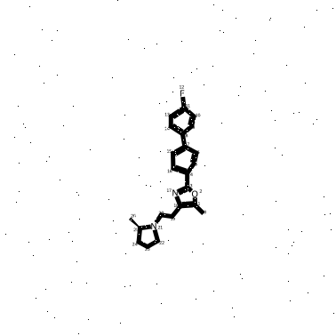 Cc1oc(-c2ccc(-c3ccc(F)cc3)cc2)nc1CCN1CCC[C@H]1C